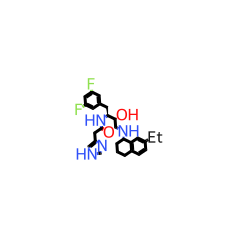 CCc1ccc2c(c1)[C@H](NC[C@@H](O)[C@H](Cc1cc(F)cc(F)c1)NC(=O)Cc1c[nH]cn1)CCC2